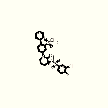 CS(=O)(=O)c1cc(N2CCCC(F)(NS(=O)(=O)c3ccc(F)c(Cl)c3)C2=O)ccc1-c1ccccc1